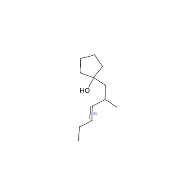 CC/C=C/C(C)CC1(O)CCCC1